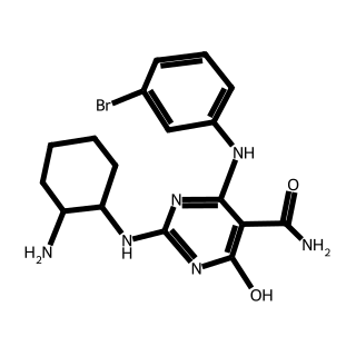 NC(=O)c1c(O)nc(NC2CCCCC2N)nc1Nc1cccc(Br)c1